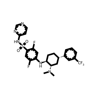 CN(C)[C@H]1C[C@@H](c2cccc(C(F)(F)F)c2)CC[C@@H]1Nc1cc(F)c(S(=O)(=O)Nc2ccncn2)cc1F